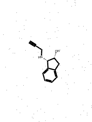 C#CCN[C@H]1c2ccccc2C[C@H]1O